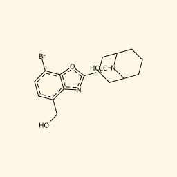 O=C(O)N1C2CCCC1CN(c1nc3c(CO)ccc(Br)c3o1)C2